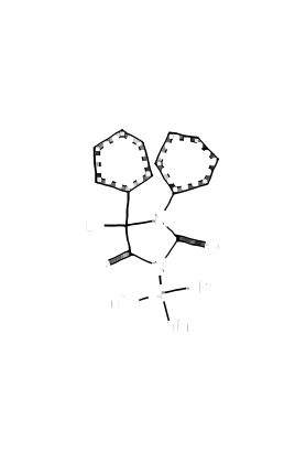 CCC[Si](CCC)(CCC)N1C(=O)N(c2ccccc2)C(CC)(c2ccccc2)C1=O